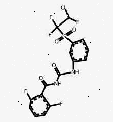 O=C(NC(=O)c1c(F)cccc1F)Nc1cccc(S(=O)(=O)C(F)(F)C(F)Cl)c1